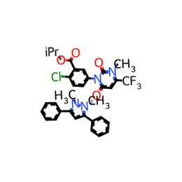 CC(C)OC(=O)c1cc(-n2c(=O)cc(C(F)(F)F)n(C)c2=O)ccc1Cl.Cn1c(-c2ccccc2)cc(-c2ccccc2)[n+]1C